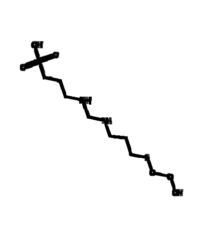 O=S(=O)(O)CCCNCNCCCSOOO